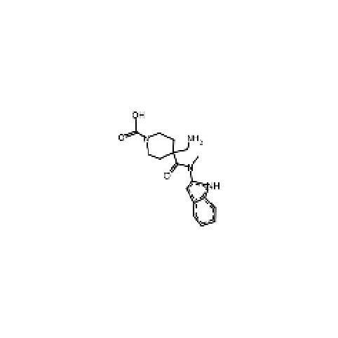 CN(C(=O)C1(CN)CCN(C(=O)O)CC1)c1cc2ccccc2[nH]1